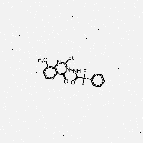 CCc1nc2c(C(F)(F)F)cccc2c(=O)n1NC(=O)C(F)(F)c1ccccc1